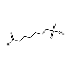 CS(=O)(=O)CCCCCCC([NH])=O